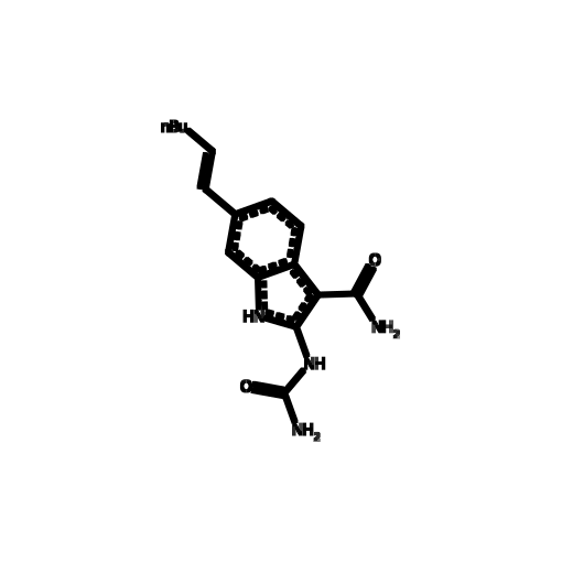 CCCCC=Cc1ccc2c(C(N)=O)c(NC(N)=O)[nH]c2c1